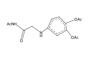 CC(=O)NC(=O)CNc1ccc(OC(C)=O)c(OC(C)=O)c1